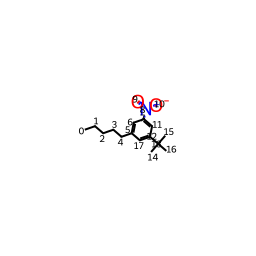 CCCCCc1cc([N+](=O)[O-])cc(C(C)(C)C)c1